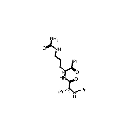 CC(C)N[C@@H](C(=O)N[C@@H](CCCNC(N)=O)C(=O)C(C)C)C(C)C